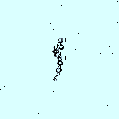 CCc1cc2cnc(Nc3ccc(N4CCN(CCN(C)C)CC4)cc3)nc2n1-c1cccc(C(C)(C)O)n1